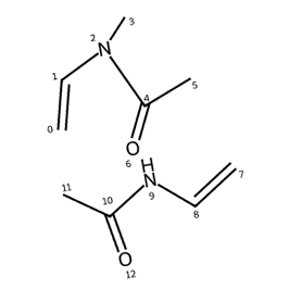 C=CN(C)C(C)=O.C=CNC(C)=O